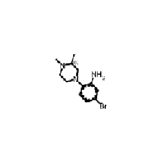 C[C@H]1CN(c2ccc(Br)cc2N)CCN1C